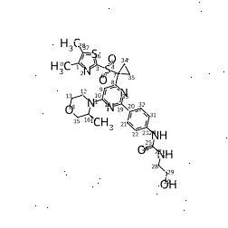 Cc1nc(S(=O)(=O)C2(c3cc(N4CCOC[C@@H]4C)nc(-c4ccc(NC(=O)NCCO)cc4)n3)CC2)sc1C